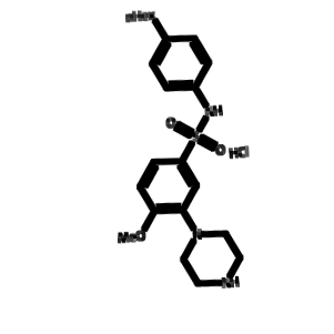 CCCCCCc1ccc(NS(=O)(=O)c2ccc(OC)c(N3CCNCC3)c2)cc1.Cl